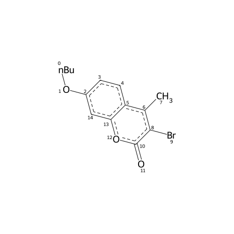 CCCCOc1ccc2c(C)c(Br)c(=O)oc2c1